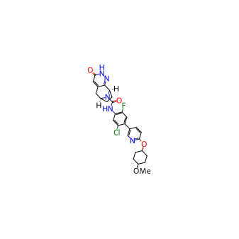 CO[C@H]1CC[C@@H](Oc2ccc(-c3cc(F)c(NC(=O)N4[C@H]5CC[C@@H]4c4n[nH]c(=O)cc4C5)cc3Cl)cn2)CC1